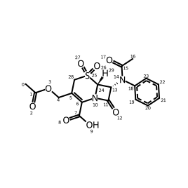 CC(=O)OCC1=C(C(=O)O)N2C(=O)[C@@H](N(C(C)=O)c3ccccc3)[C@H]2S(=O)(=O)C1